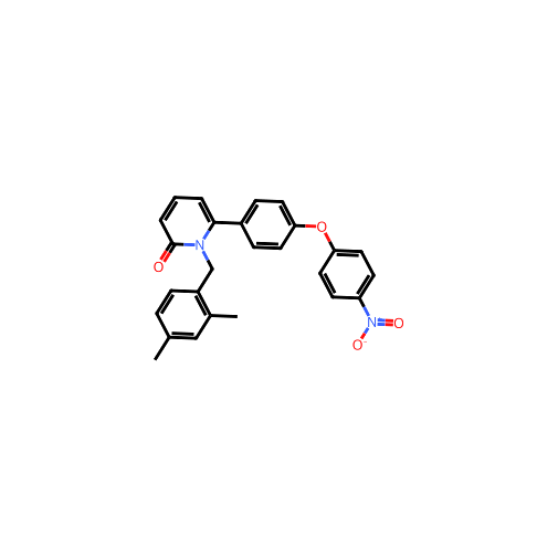 Cc1ccc(Cn2c(-c3ccc(Oc4ccc([N+](=O)[O-])cc4)cc3)cccc2=O)c(C)c1